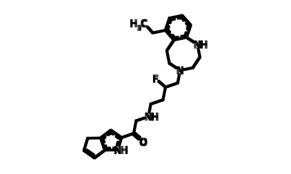 CCc1cccc2c1CCN(CC(F)CCNCC(=O)c1cc3c([nH]1)C=CC3)CCN2